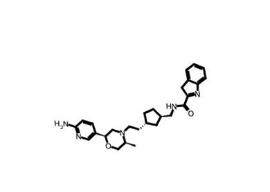 C[C@H]1CO[C@@H](c2ccc(N)nc2)CN1CC[C@@H]1CC[C@@H](CNC(=O)C2=Nc3ccccc3C2)C1